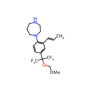 CC=Cc1cc(C(OCOC)(C(F)(F)F)C(F)(F)F)ccc1N1CCCNCC1